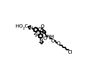 C[Si]1(C)c2cc(N3CCC3)ccc2C2(OC(=O)c3ccc(C(=O)NCCOCCOCCCCCCCl)cc32)c2ccc(N3CC(C(=O)O)C3)cc21